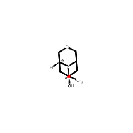 O[C@@H]1CC2COC[C@@H](C1)N2CC(F)(F)F